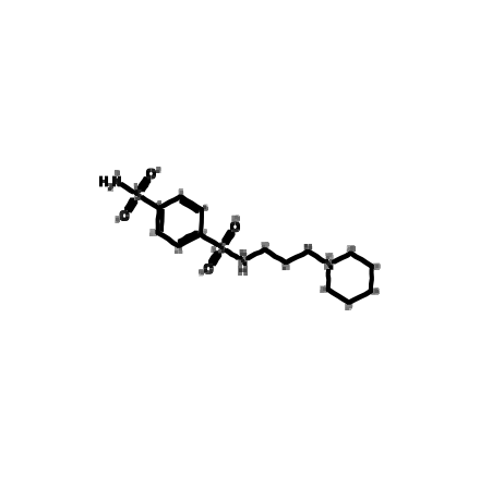 NS(=O)(=O)c1ccc(S(=O)(=O)NCCCN2CCCCC2)cc1